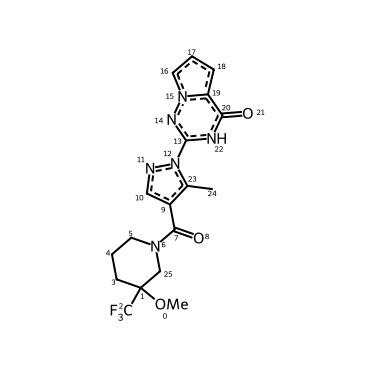 COC1(C(F)(F)F)CCCN(C(=O)c2cnn(-c3nn4cccc4c(=O)[nH]3)c2C)C1